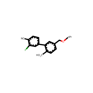 CCCOCc1ccc(C(=O)O)c(-c2ccc(C#N)c(F)c2)c1